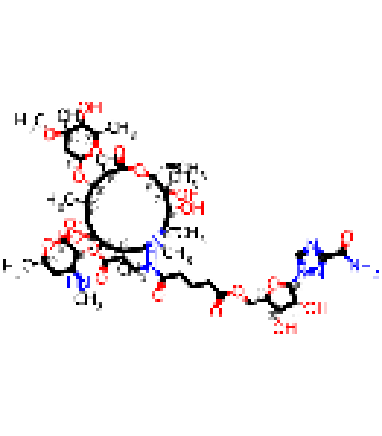 CC[C@H]1OC(=O)[C@H](C)[C@@H](O[C@H]2C[C@@](C)(OC)[C@@H](O)[C@H](C)O2)[C@H](C)[C@@H](O[C@@H]2O[C@H](C)CC(NC)[C@H]2OC(=O)CCNC(=O)CCCC(=O)OC[C@H]2O[C@@H](n3cnc(C(N)=O)n3)[C@H](O)[C@@H]2O)[C@](C)(O)C[C@@H](C)CN(C)[C@H](C)[C@@H](O)[C@]1(C)O